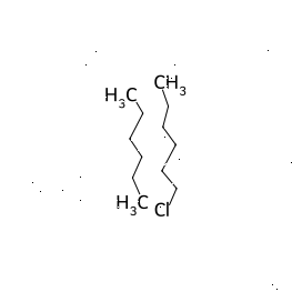 CCCCCC.CCCCCCCl